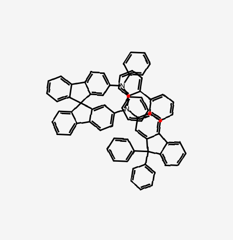 c1ccc(-c2ccccc2N(c2ccc3c(c2)C(c2ccccc2)(c2ccccc2)c2ccccc2-3)c2ccc3c(c2)C2(c4ccccc4-c4ccc(N(c5ccccc5)c5ccccc5)cc42)c2ccccc2-3)cc1